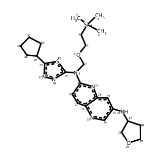 C[Si](C)(C)CCOCN(c1ccc2ncc(NC3CCOC3)cc2n1)c1nnc(C2CCCC2)s1